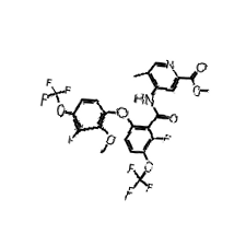 COC(=O)c1cc(NC(=O)c2c(Oc3ccc(OC(F)(F)F)c(F)c3OC)ccc(OC(F)(F)F)c2F)c(C)cn1